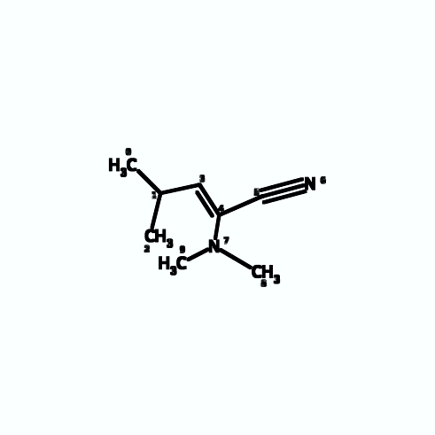 CC(C)C=C(C#N)N(C)C